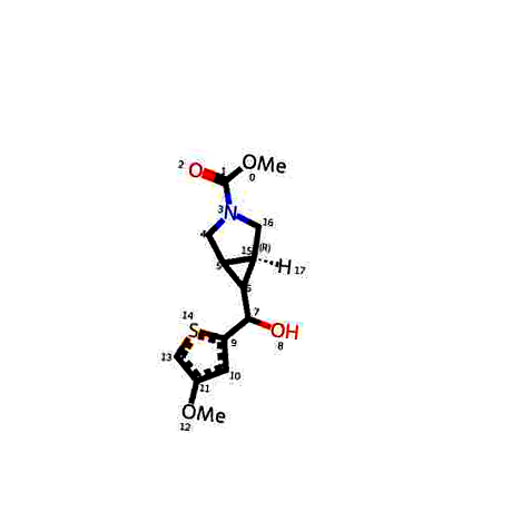 COC(=O)N1CC2C(C(O)c3cc(OC)cs3)[C@@H]2C1